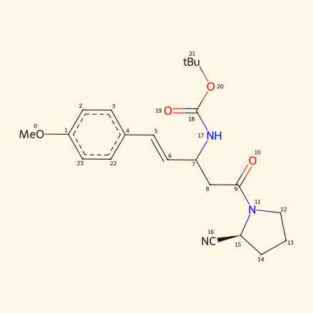 COc1ccc(C=CC(CC(=O)N2CCC[C@H]2C#N)NC(=O)OC(C)(C)C)cc1